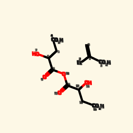 C=C(CC)C(=O)O.O=C(O)CC(O)C(=O)OC(=O)C(O)CC(=O)O